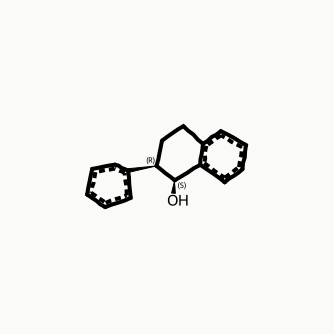 O[C@@H]1c2ccccc2CC[C@@H]1c1ccccc1